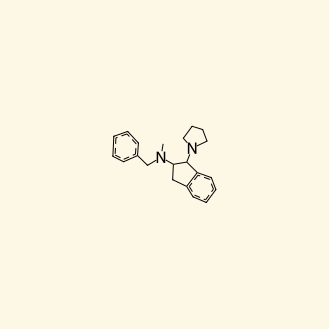 CN(Cc1ccccc1)C1Cc2ccccc2C1N1CCCC1